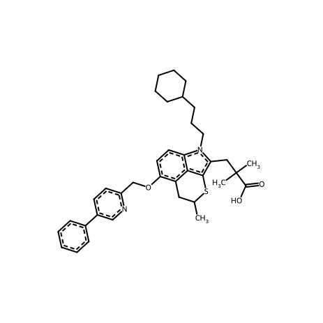 CC1Cc2c(OCc3ccc(-c4ccccc4)cn3)ccc3c2c(c(CC(C)(C)C(=O)O)n3CCCC2CCCCC2)S1